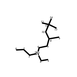 CCCN(CC)CCC(C)CC(C)(C)C